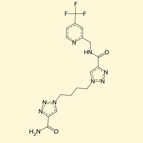 NC(=O)c1cn(CCCCn2cc(C(=O)NCc3cc(C(F)(F)F)ccn3)nn2)nn1